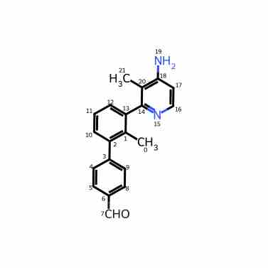 Cc1c(-c2ccc(C=O)cc2)cccc1-c1nccc(N)c1C